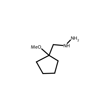 COC1(CNN)CCCC1